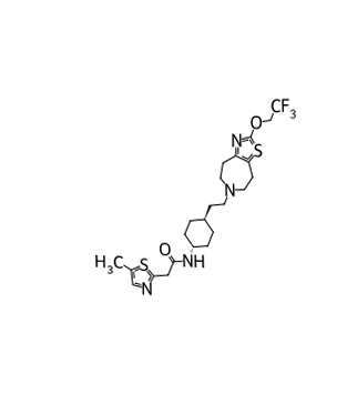 Cc1cnc(CC(=O)N[C@H]2CC[C@H](CCN3CCc4nc(OCC(F)(F)F)sc4CC3)CC2)s1